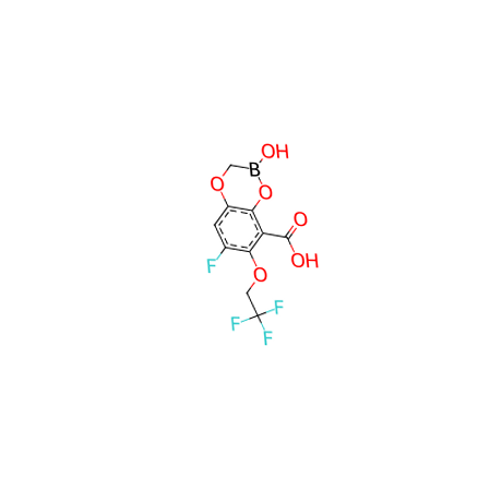 O=C(O)c1c(OCC(F)(F)F)c(F)cc2c1OB(O)CO2